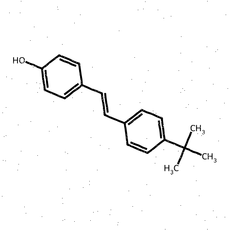 CC(C)(C)c1ccc(C=Cc2ccc(O)cc2)cc1